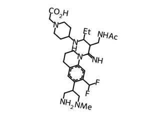 CCC(NC1CCN(CC(=O)O)CC1)C(CNC(C)=O)C(=N)N1CCCc2cc(C(CN)CNC)c(C(F)F)cc21